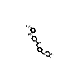 C[C@@H]1CN(Cc2ccc(CC(=O)N3CCC(Nc4cccc(C(F)(F)F)c4)CC3)cc2)CCN1